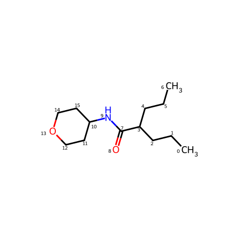 CCCC(CCC)C(=O)NC1CCOCC1